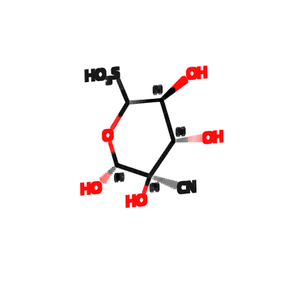 N#C[C@]1(O)[C@H](O)OC(S(=O)(=O)O)[C@@H](O)[C@@H]1O